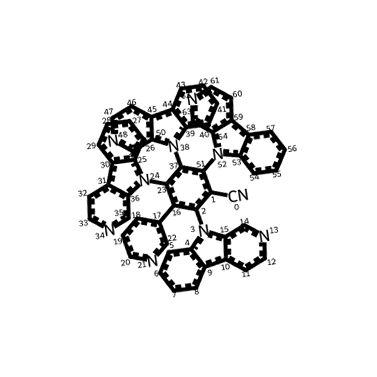 N#Cc1c(-n2c3ccccc3c3ccncc32)c(-c2cccnc2)c(-n2c3ccccc3c3ccncc32)c(-n2c3ccccc3c3ccncc32)c1-n1c2ccccc2c2ccncc21